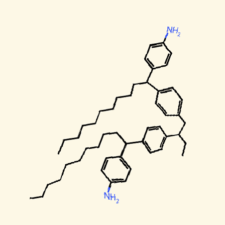 CCCCCCCCCCC(c1ccc(N)cc1)c1ccc(CC(CC)c2ccc(C(CCCCCCCCCC)c3ccc(N)cc3)cc2)cc1